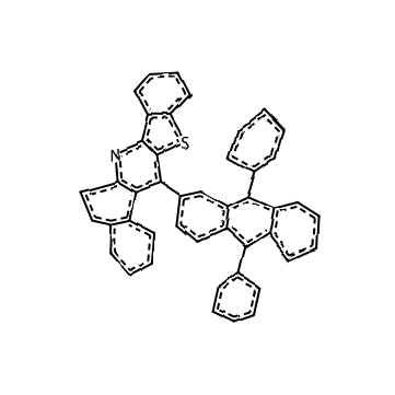 c1ccc(-c2c3ccccc3c(-c3ccccc3)c3cc(-c4c5sc6ccccc6c5nc5ccc6ccccc6c45)ccc23)cc1